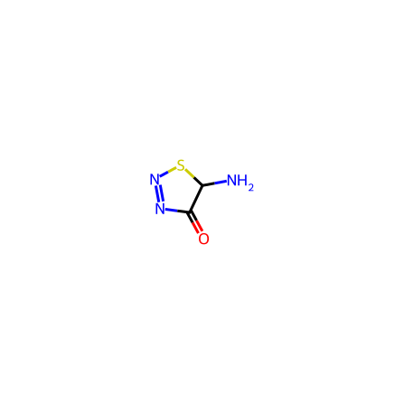 NC1SN=NC1=O